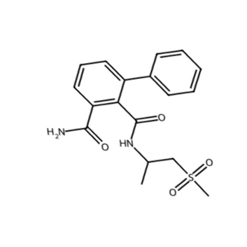 CC(CS(C)(=O)=O)NC(=O)c1c(C(N)=O)cccc1-c1ccccc1